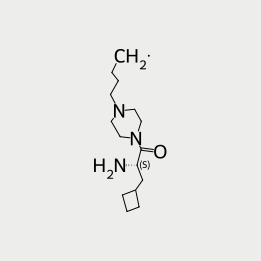 [CH2]CCCN1CCN(C(=O)[C@@H](N)CC2CCC2)CC1